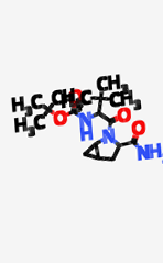 CC(C)(C)OC(=O)NC(C(=O)N1C(C(N)=O)CC2CC21)C(C)(C)C